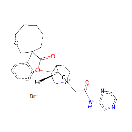 O=C(C[N+]12CCC(CC1)[C@@H](OC(=O)C1(c3ccccc3)CCCCCCC1)C2)Nc1cnccn1.[Br-]